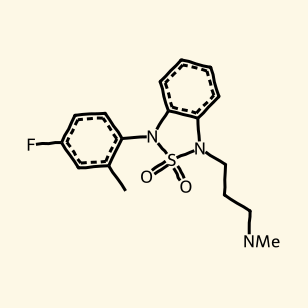 CNCCCN1c2ccccc2N(c2ccc(F)cc2C)S1(=O)=O